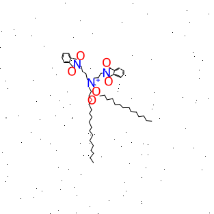 CCCCCCCCCCCCCCOCC(C[N+](C)(CCCCN1C(=O)c2ccccc2C1=O)CCCN1C(=O)c2ccccc2C1=O)OCCCCCCCCCCCCCC